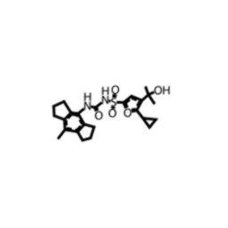 Cc1c2c(c(NC(=O)NS(=O)(=O)c3cc(C(C)(C)O)c(C4CC4)o3)c3c1CCC3)CCC2